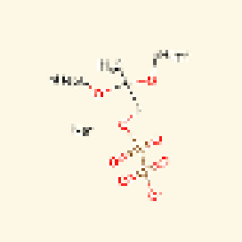 CCCCCCCOC(C)(COS(=O)(=O)S(=O)(=O)[O-])OCCCCCCC.[Na+]